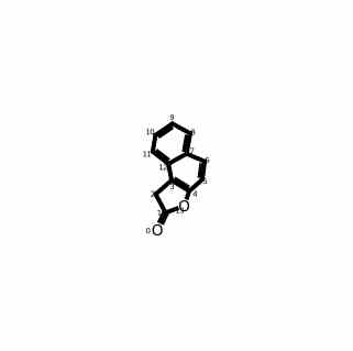 O=C1Cc2c(ccc3ccccc23)O1